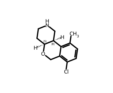 Cc1ccc(Cl)c2c1[C@@H]1CNCC[C@@H]1OC2